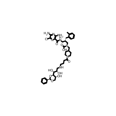 Cc1ccccc1C[C@@H](CNC(=O)c1nc(Cl)c(N)nc1N)CN(CC1CCN(C(=O)CCCNC[C@H](O)[C@@H](O)[C@@H]2O[C@H](c3ccccc3)OC[C@H]2O)CC1)C(=O)O